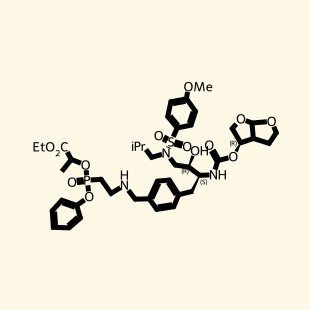 CCOC(=O)C(C)OP(=O)(CCNCc1ccc(C[C@H](NC(=O)O[C@H]2COC3OCCC32)[C@H](O)CN(CC(C)C)S(=O)(=O)c2ccc(OC)cc2)cc1)Oc1ccccc1